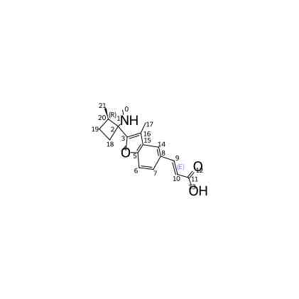 CNC1(c2oc3ccc(/C=C/C(=O)O)cc3c2C)CC[C@H]1C